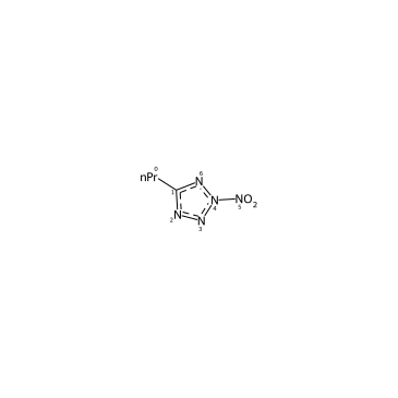 CCCc1nnn([N+](=O)[O-])n1